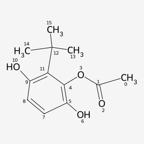 CC(=O)Oc1c(O)ccc(O)c1C(C)(C)C